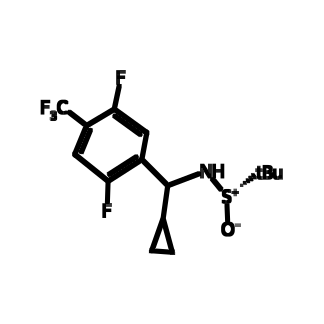 CC(C)(C)[S@+]([O-])NC(c1cc(F)c(C(F)(F)F)cc1F)C1CC1